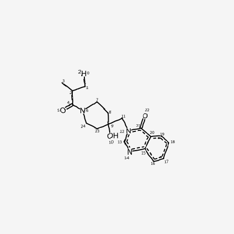 [2H]CC(C)C(=O)N1CCC(O)(Cn2cnc3ccccc3c2=O)CC1